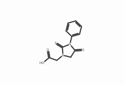 O=C(O)CN1CC(=O)N(c2ccccc2)C1=S